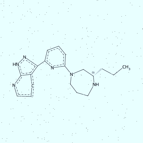 CCC[C@H]1CN(c2cccc(-c3n[nH]c4ncccc34)n2)CCCN1